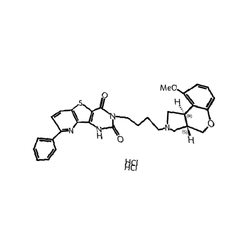 COc1cccc2c1[C@@H]1CN(CCCCn3c(=O)[nH]c4c(sc5ccc(-c6ccccc6)nc54)c3=O)C[C@H]1CO2.Cl.Cl